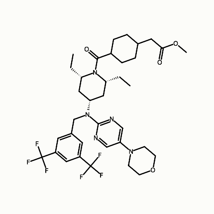 CC[C@@H]1C[C@H](N(Cc2cc(C(F)(F)F)cc(C(F)(F)F)c2)c2ncc(N3CCOCC3)cn2)C[C@H](CC)N1C(=O)C1CCC(CC(=O)OC)CC1